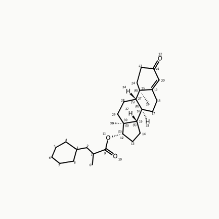 CC(CC1CCCCC1)C(=O)O[C@H]1CC[C@H]2[C@@H]3CCC4=CC(=O)CC[C@]4(C)[C@H]3CC[C@]12C